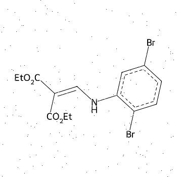 CCOC(=O)C(=CNc1cc(Br)ccc1Br)C(=O)OCC